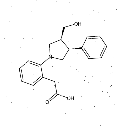 O=C(O)Cc1ccccc1N1C[C@@H](CO)[C@@H](c2ccccc2)C1